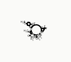 CC[C@@H]1[C@@H]2CN(C(=O)[C@H](C(C)(C)C)NC(=O)O[C@@H]3CC4C([C@H]3CCCCC(F)(F)c3nc5ccc(OC)cc5nc3O2)C4(F)F)[C@@H]1C(C)=O